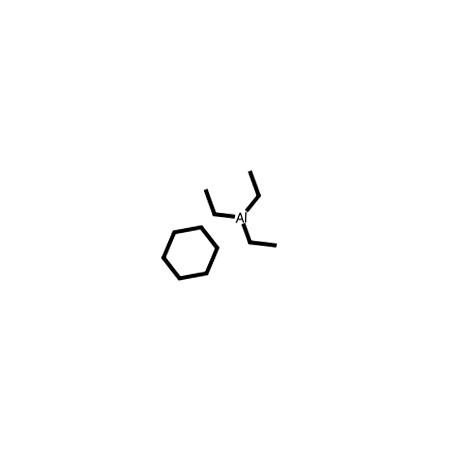 C1CCCCC1.C[CH2][Al]([CH2]C)[CH2]C